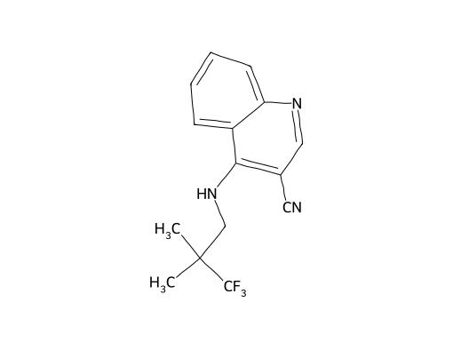 CC(C)(CNc1c(C#N)cnc2ccccc12)C(F)(F)F